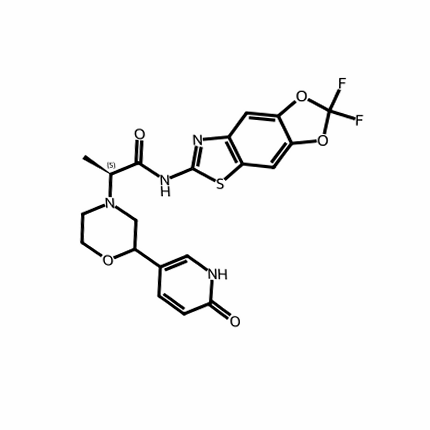 C[C@@H](C(=O)Nc1nc2cc3c(cc2s1)OC(F)(F)O3)N1CCOC(c2ccc(=O)[nH]c2)C1